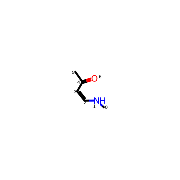 CN/C=C\C(C)=O